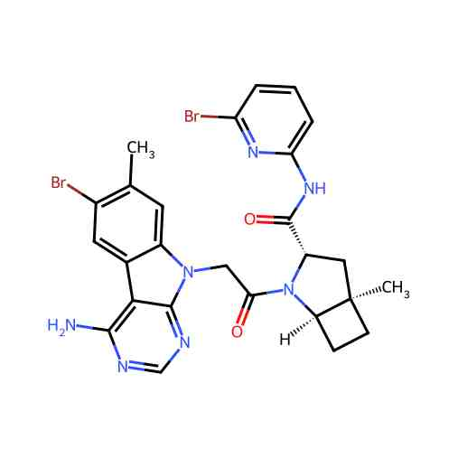 Cc1cc2c(cc1Br)c1c(N)ncnc1n2CC(=O)N1[C@H](C(=O)Nc2cccc(Br)n2)C[C@@]2(C)CC[C@@H]12